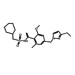 C=C(NS(=O)(=O)CC1CCCCC1)c1c(C)cc(Cn2ccc(CC)n2)cc1OC